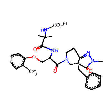 CN1N=C2CCN(C(=O)[C@@H](COc3ccccc3C(F)(F)F)NC(=O)C(C)(C)NC(=O)O)C[C@@]2(Cc2ccccc2)C1=O